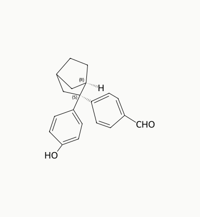 O=Cc1ccc([C@]2(c3ccc(O)cc3)CC3CC[C@@H]2C3)cc1